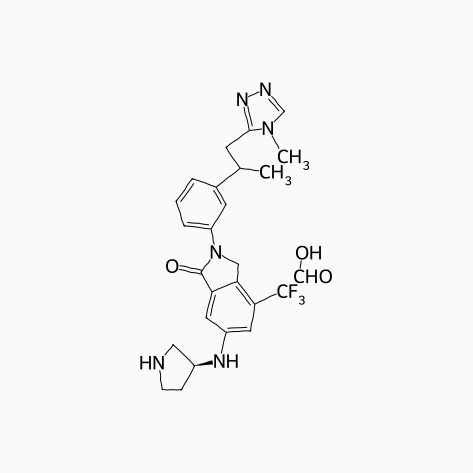 CC(Cc1nncn1C)c1cccc(N2Cc3c(cc(N[C@H]4CCNC4)cc3C(F)(F)F)C2=O)c1.O=CO